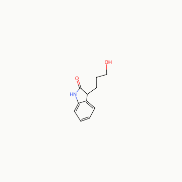 O=C1Nc2ccccc2C1CCCO